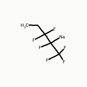 CCC(F)(F)[C](F)([Na])C(F)(F)F